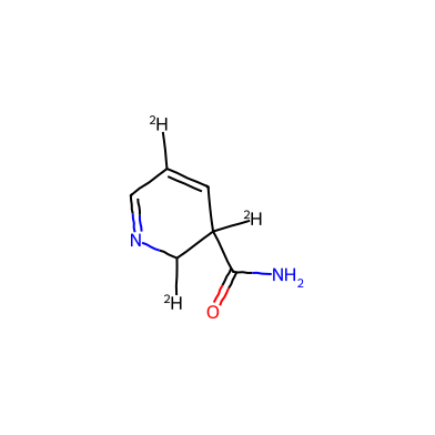 [2H]C1=CC([2H])(C(N)=O)C([2H])N=C1